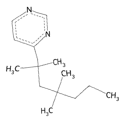 CCCC(C)(C)CC(C)(C)c1ccncn1